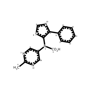 Cc1ncc(N(C(=O)O)c2scnc2-c2ccccc2)cn1